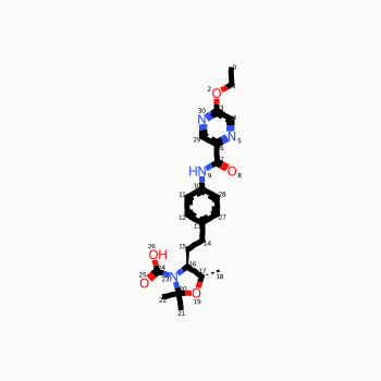 CCOc1cnc(C(=O)Nc2ccc(CC[C@H]3[C@H](C)OC(C)(C)N3C(=O)O)cc2)cn1